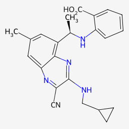 Cc1cc([C@@H](C)Nc2ccccc2C(=O)O)c2nc(NCC3CC3)c(C#N)nc2c1